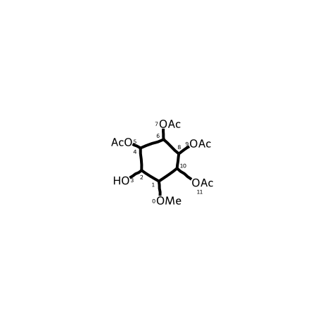 COC1C(O)C(OC(C)=O)C(OC(C)=O)C(OC(C)=O)C1OC(C)=O